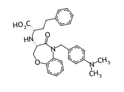 CN(C)c1ccc(CN2C(=O)[C@@H](N[C@@H](CCc3ccccc3)C(=O)O)COc3ccccc32)cc1